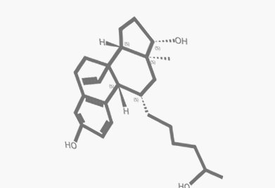 C=CC12CCc3cc(O)ccc3[C@H]1[C@@H](CCCCC(C)O)C[C@]1(C)[C@@H](O)CC[C@@H]21